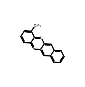 COc1cccc2nc3cc4ccccc4cc3nc12